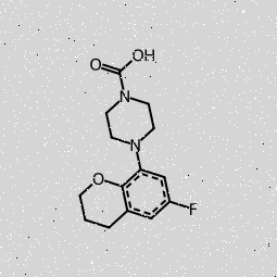 O=C(O)N1CCN(c2cc(F)cc3c2OCCC3)CC1